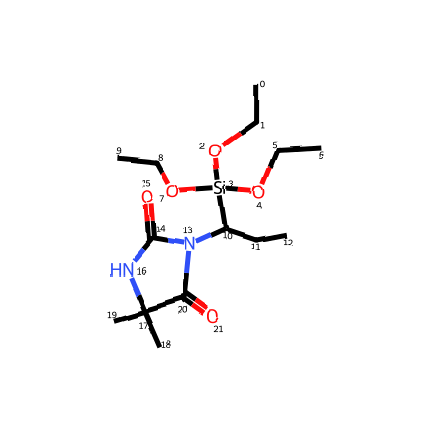 CCO[Si](OCC)(OCC)C(CC)N1C(=O)NC(C)(C)C1=O